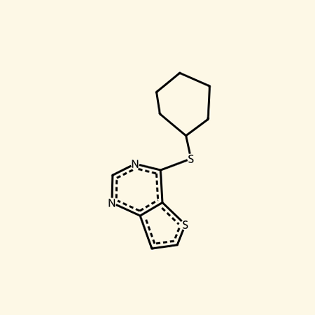 c1nc(SC2CCCCC2)c2sccc2n1